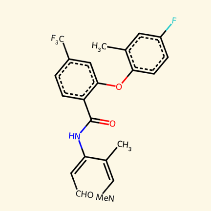 CN/C=C(C)\C(=C/C=O)NC(=O)c1ccc(C(F)(F)F)cc1Oc1ccc(F)cc1C